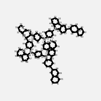 c1ccc2cc(-c3ccc4c(c3)c3ccccc3n4-c3ccc(N(c4ccc(-c5nc6ccccc6nc5-c5ccc(N(c6ccc(-n7c8ccccc8c8cc(-c9ccc%10ccccc%10c9)ccc87)cc6)c6cccc7cccnc67)cc5)cc4)c4cccc5cccnc45)cc3)ccc2c1